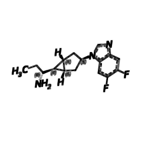 CC[C@@H](N)[C@H]1[C@@H]2C[C@@H](n3cnc4cc(F)c(F)cc43)C[C@@H]21